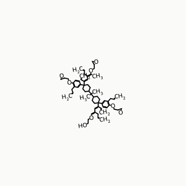 C=CCC(=C\OCCO)/C=C(\C=C)C1(c2ccc(OCC3CO3)c(CC=C)c2)CCC(C(C)(C)C2CCC(/C(C=C)=C/C(CC=C)=C(\C)OCC3CO3)(c3ccc(OCC4CO4)c(CC=C)c3)CC2)CC1